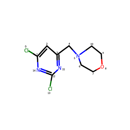 Clc1cc(CN2CCOCC2)nc(Cl)n1